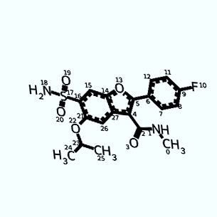 CNC(=O)c1c(-c2ccc(F)cc2)oc2cc(S(N)(=O)=O)c(OC(C)C)cc12